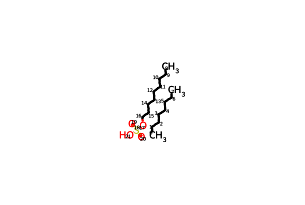 CCCCCCCC.CCCCCCCCCOS(=O)(=O)O